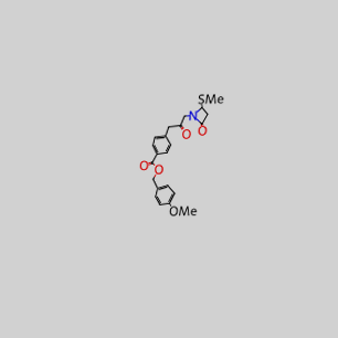 COc1ccc(COC(=O)c2ccc(CC(=O)CN3C(=O)CC3SC)cc2)cc1